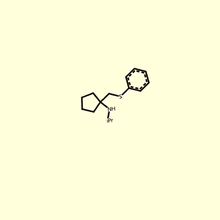 CC(C)NC1(CSc2ccccc2)CCCC1